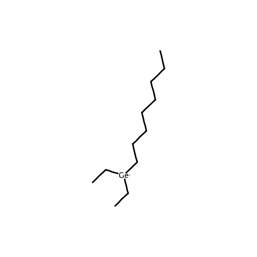 CCCCCCC[CH2][Ge]([CH2]C)[CH2]C